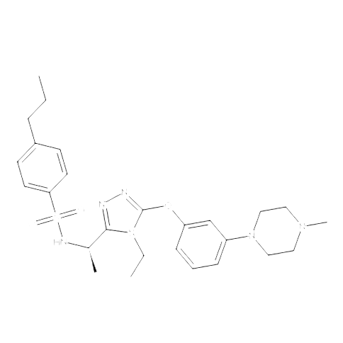 CCCc1ccc(S(=O)(=O)N[C@H](C)c2nnc(Oc3cccc(N4CCN(C)CC4)c3)n2CC)cc1